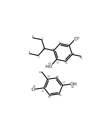 CCC(CC)c1cc(Cl)c(C)cc1O.Cc1cc(O)ccc1Cl